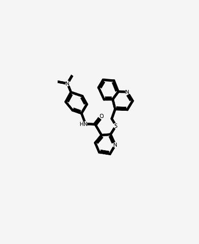 CN(C)c1ccc(NC(=O)c2cccnc2SCc2ccnc3ccccc23)cc1